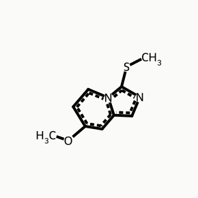 COc1ccn2c(SC)ncc2c1